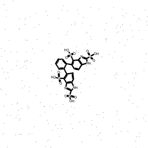 O=S(=O)(O)c1nc2c(S(=O)(=O)O)c(-c3ccccc3-c3ccc4[nH]c(S(=O)(=O)O)nc4c3S(=O)(=O)O)ccc2[nH]1